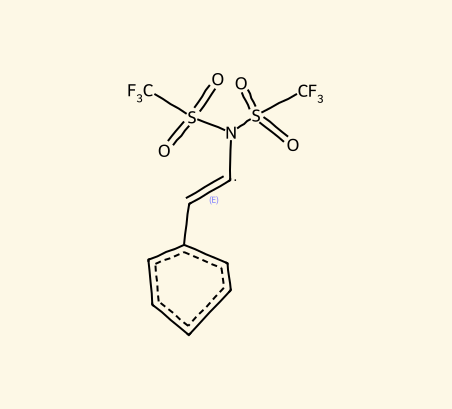 O=S(=O)(N(/[C]=C/c1ccccc1)S(=O)(=O)C(F)(F)F)C(F)(F)F